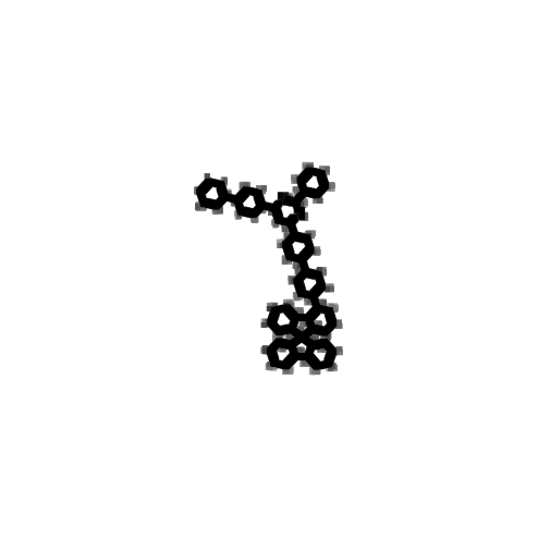 c1ccc(-c2ccc(-c3cc(-c4ccc(-c5ccc(-c6cccc7c6-c6ccccc6C76c7ccccc7-c7ccccc76)cc5)cc4)nc(-c4ccccc4)n3)cc2)cc1